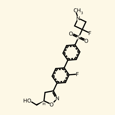 CN1CC(F)(S(=O)(=O)c2ccc(-c3ccc(C4=NO[C@@H](CO)C4)cc3F)cc2)C1